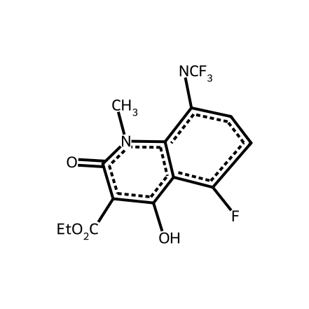 CCOC(=O)c1c(O)c2c(F)ccc(NC(F)(F)F)c2n(C)c1=O